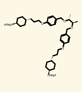 CCCCCCC[C@H]1CC[C@H](CCCOc2ccc(CO[C@H](C)[C@@H](C)OCc3ccc(OCCC[C@H]4CC[C@H](CCCCCCC)CC4)cc3)cc2)CC1